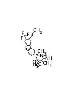 CC#Cc1cc2c(cc1C(F)(F)F)sc1ccc([C@]3(C)CS(=O)(=O)C(C)(C)C(=N)N3)cc12